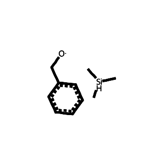 C[SiH](C)C.[O]Cc1ccccc1